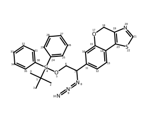 CC(C)(C)[Si](OCC(N=[N+]=[N-])c1ccc2c(c1)OCc1ncsc1-2)(c1ccccc1)c1ccccc1